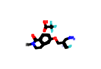 CC(C)N1CCc2cc(OC/C(=C/F)CN)ccc2C1=O.O=C(O)C(F)(F)F